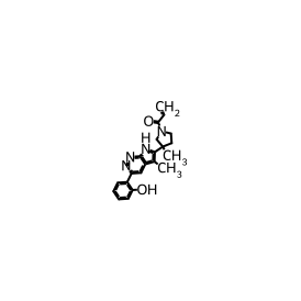 C=CC(=O)N1CCC(C)(c2[nH]c3nnc(-c4ccccc4O)cc3c2C)C1